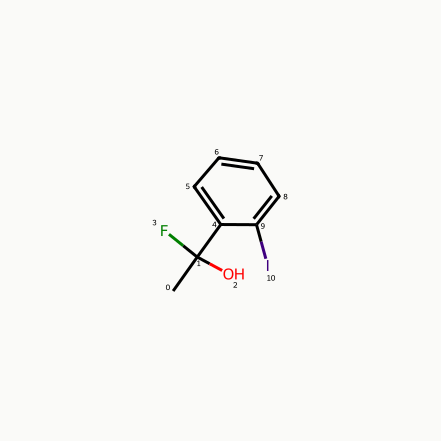 CC(O)(F)c1ccccc1I